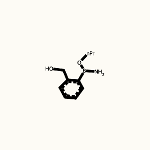 CCCOB(N)c1ccccc1CO